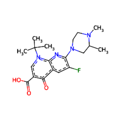 CC1CN(c2nc3c(cc2F)c(=O)c(C(=O)O)cn3C(C)(C)C)CCN1C